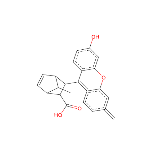 C=c1ccc2c(c1)Oc1cc(O)ccc1C=2C1C2C=CC(C2C)C1C(=O)O